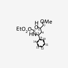 CCOC(=O)CNC(CC(O)COC)c1ccccc1